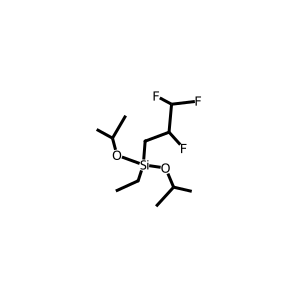 CC[Si](CC(F)C(F)F)(OC(C)C)OC(C)C